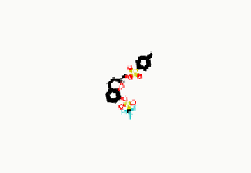 Cc1ccc(S(=O)(=O)OC[C@@H]2CCc3cccc(OS(=O)(=O)C(F)(F)F)c3O2)cc1